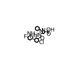 Nc1nc(-c2ccc(Cl)c(C(=O)Nc3cc(C(=O)O)nn3-c3ccccc3)c2)ccc1F